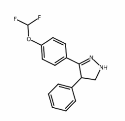 FC(F)Oc1ccc(C2=NNCC2c2ccccc2)cc1